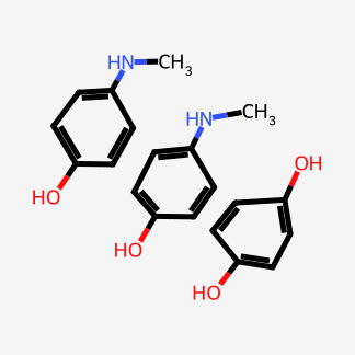 CNc1ccc(O)cc1.CNc1ccc(O)cc1.Oc1ccc(O)cc1